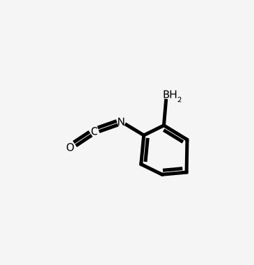 Bc1ccccc1N=C=O